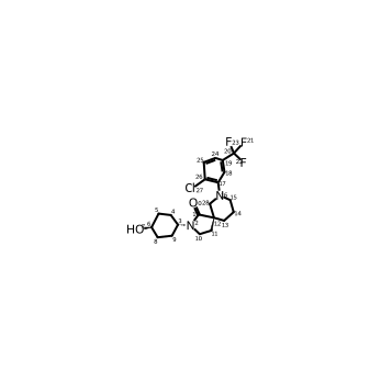 O=C1N([C@H]2CC[C@H](O)CC2)CC[C@@]12CCCN(c1cc(C(F)(F)F)ccc1Cl)C2